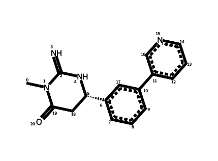 CN1C(=N)N[C@H](c2cccc(-c3cccnc3)c2)CC1=O